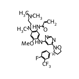 C=CC(=O)Nc1cc(Nc2cc(N3OCC[C@@H]3c3ccc(F)c(C(F)(F)F)c3)ncn2)c(OC)cc1N(C)CCN(C)C